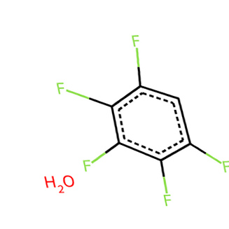 Fc1cc(F)c(F)c(F)c1F.O